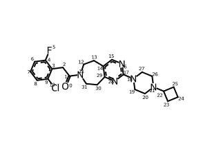 O=C(Cc1c(F)cccc1Cl)N1CCc2cnc(N3CCN(C4CCC4)CC3)nc2CC1